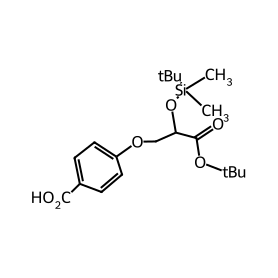 CC(C)(C)OC(=O)C(COc1ccc(C(=O)O)cc1)O[Si](C)(C)C(C)(C)C